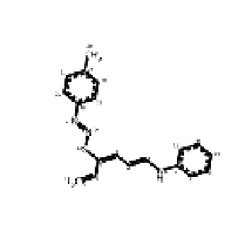 C=C/C(=C\C=C\Nc1ccccc1)SN=Nc1ccc(C)cc1